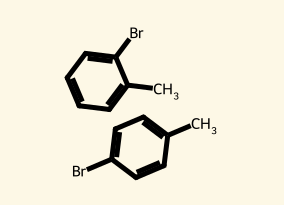 Cc1ccc(Br)cc1.Cc1ccccc1Br